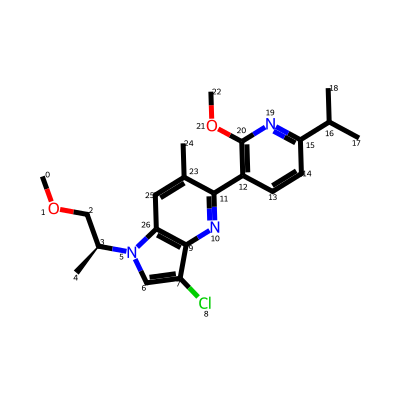 COC[C@H](C)n1cc(Cl)c2nc(-c3ccc(C(C)C)nc3OC)c(C)cc21